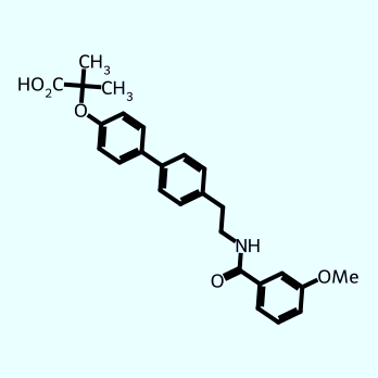 COc1cccc(C(=O)NCCc2ccc(-c3ccc(OC(C)(C)C(=O)O)cc3)cc2)c1